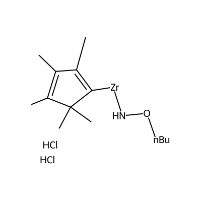 CCCCO[NH][Zr][C]1=C(C)C(C)=C(C)C1(C)C.Cl.Cl